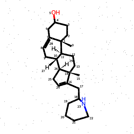 C[C@]12CCC(O)CC1=CC[C@@H]1[C@@H]2CC[C@]2(C)C(CC3CCCCN3)=CC[C@@H]12